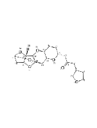 O=C(CC1CCOC1)C[C@H]1CCC2OC3C4OC5CC(OC4C2O1)O[C@@H]53